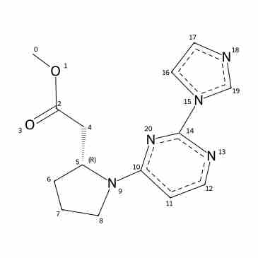 COC(=O)C[C@H]1CCCN1c1ccnc(-n2ccnc2)n1